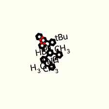 Cc1cccc(C)c1-c1cc(-c2cccc3c2Nc2ccccc2C3(C)C)c2c(c1)N(c1ccc(C(C)(C)C)cc1-c1ccccc1)c1cc(-c3ccccc3)ccc1B2